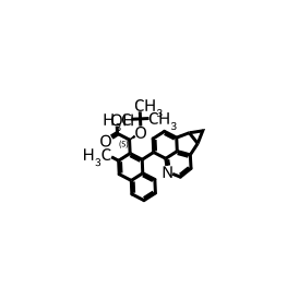 Cc1cc2ccccc2c(-c2ccc3c4c(ccnc24)C2CC32)c1[C@H](OC(C)(C)C)C(=O)O